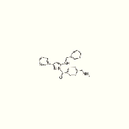 NCc1ccc(C(=O)n2nc(-c3cccnc3)cc2NCc2ccccc2)cc1